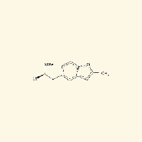 CC[C@H](Cc1ccc2oc(C)cc2c1)NC